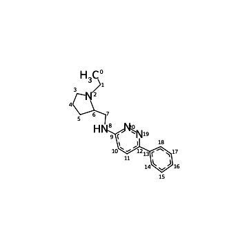 CCN1CCCC1CNc1ccc(-c2ccccc2)nn1